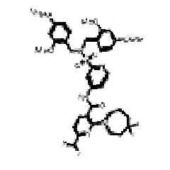 COc1ccc(CN(Cc2ccc(OC)cc2OC)S(=O)(=O)c2cc(NC(=O)c3ccc(C(F)F)nc3N3CCCC(F)(F)CC3)ccn2)c(OC)c1